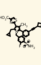 Cc1c(-c2nc(C(=O)O)cs2)c(CC2CC2)n(Cc2ccc(S(N)(=O)=O)c(F)c2)c1-c1cccc(C#CC2CCC2)c1